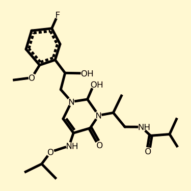 COc1ccc(F)cc1C(O)CN1C=C(NOC(C)C)C(=O)N(C(C)CNC(=O)C(C)C)C1O